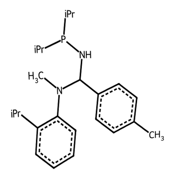 Cc1ccc(C(NP(C(C)C)C(C)C)N(C)c2ccccc2C(C)C)cc1